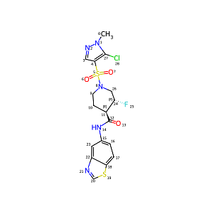 Cn1ncc(S(=O)(=O)N2CC[C@H](C(=O)Nc3ccc4scnc4c3)[C@@H](F)C2)c1Cl